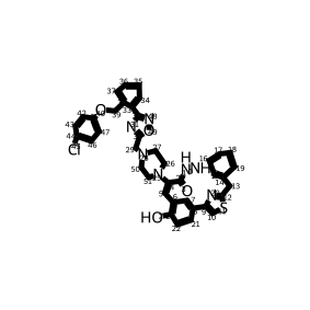 NNC(=O)C(=Cc1cc(-c2csc(Cc3ccccc3)n2)ccc1O)N1CCN(Cc2nc(-c3ccccc3COc3ccc(Cl)cc3)no2)CC1